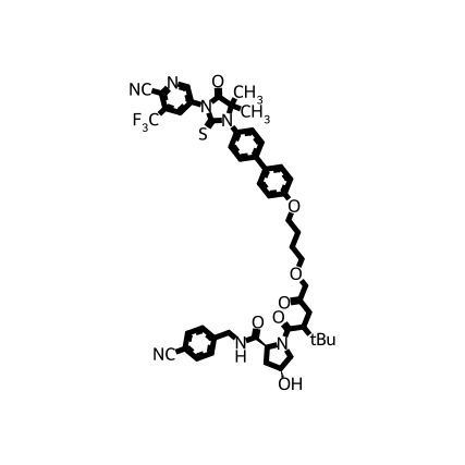 CC(C)(C)C(CC(=O)COCCCCOc1ccc(-c2ccc(N3C(=S)N(c4cnc(C#N)c(C(F)(F)F)c4)C(=O)C3(C)C)cc2)cc1)C(=O)N1C[C@H](O)C[C@H]1C(=O)NCc1ccc(C#N)cc1